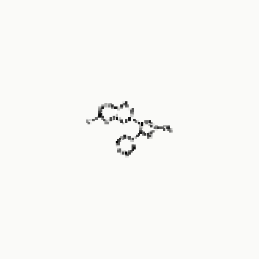 Cn1cc(-c2cnc3ccc(Cl)nc3c2)c(-c2cccnc2)n1